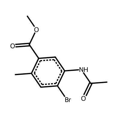 COC(=O)c1cc(NC(C)=O)c(Br)cc1C